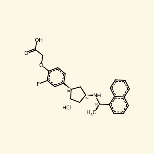 C[C@@H](N[C@H]1CC[C@@H](c2ccc(OCC(=O)O)c(F)c2)C1)c1cccc2ccccc12.Cl